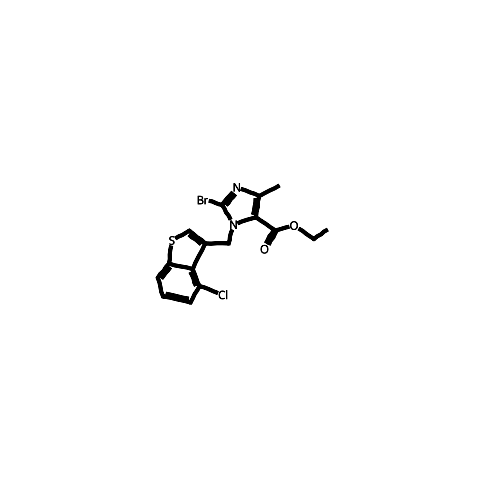 CCOC(=O)c1c(C)nc(Br)n1Cc1csc2cccc(Cl)c12